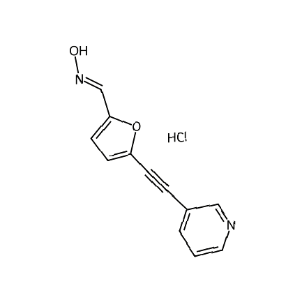 Cl.O/N=C/c1ccc(C#Cc2cccnc2)o1